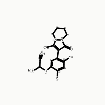 C#CC(C)Oc1cc(-c2c(Cl)n3n(c2=O)CCCC3)c(F)cc1F